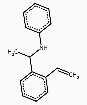 C=Cc1ccccc1C(C)Nc1ccccc1